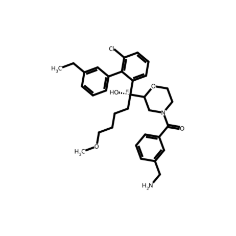 CCc1cccc(-c2c(Cl)cccc2[C@](O)(CCCCOC)C2CN(C(=O)c3cccc(CN)c3)CCO2)c1